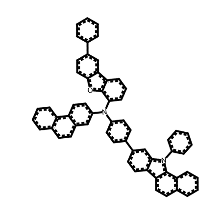 c1ccc(-c2ccc3oc4c(N(c5ccc(-c6ccc7c8ccc9ccccc9c8n(-c8ccccc8)c7c6)cc5)c5ccc6c(ccc7ccccc76)c5)cccc4c3c2)cc1